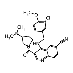 COc1ccc(CNc2c(C(=O)N3CCC(N(C)C)C3)cnc3ccc(C#N)cc23)cc1Cl